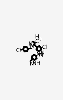 Cc1cnn(Cc2ccc(Cl)cc2)c1-c1cc(Cl)c2nnn(-c3ccc4cn[nH]c4c3)c2c1